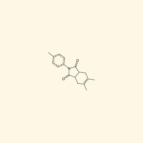 CC1=C(C)CC2C(=O)N(c3ccc(C)cc3)C(=O)C2C1